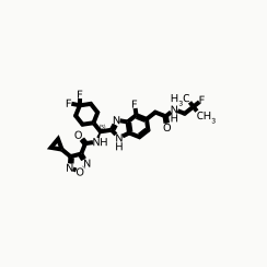 CC(C)(F)CNC(=O)Cc1ccc2[nH]c([C@@H](NC(=O)c3nonc3C3CC3)C3CCC(F)(F)CC3)nc2c1F